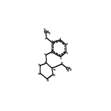 CCc1ccccc1CC1CCCCC1CC